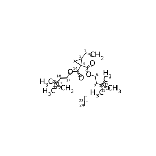 C=CC1CC1(C(=O)OCC[N+](C)(C)C)C(=O)OCC[N+](C)(C)C.[I-].[I-]